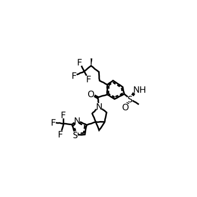 C[C@@H](CCc1ccc(S(C)(=N)=O)cc1C(=O)N1CC2CC2(c2csc(C(F)(F)F)n2)C1)C(F)(F)F